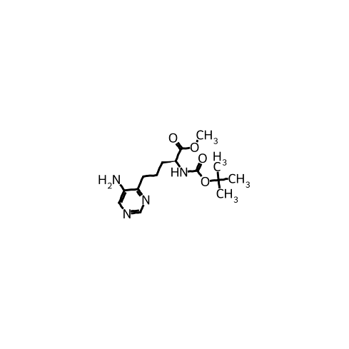 COC(=O)[C@H](CCCc1ncncc1N)NC(=O)OC(C)(C)C